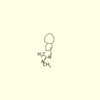 C/N=C(C)\N=C/C1=CC2CCCCCCC2CC1